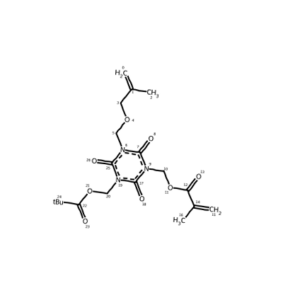 C=C(C)COCn1c(=O)n(COC(=O)C(=C)C)c(=O)n(COC(=O)C(C)(C)C)c1=O